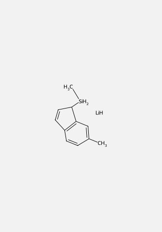 C[SiH2]C1C=Cc2ccc(C)cc21.[LiH]